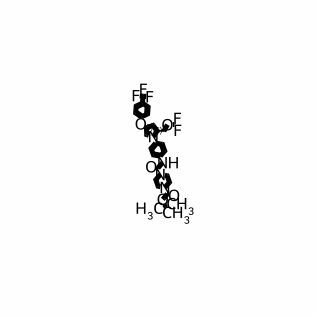 CC(C)(C)OC(=O)N1CCN(C(=O)Nc2ccc(N3C[C@@H](Oc4ccc(C(F)(F)F)cc4)C[C@H]3COC(F)F)cc2)CC1